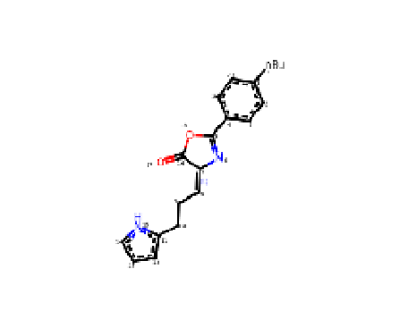 CCCCc1ccc(C2=N/C(=C/CCc3ccc[nH]3)C(=O)O2)cc1